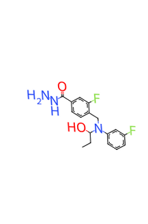 CCC(O)N(Cc1ccc(C(=O)NN)cc1F)c1cccc(F)c1